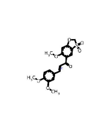 COc1ccc(/C=C/C(=O)c2cc3c(cc2OC)OCS3(=O)=O)cc1OC